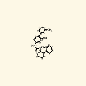 Cc1cc(-c2ccc(Nc3nc4n(n3)CCCC4c3ccccc3Cl)cc2O)ccn1